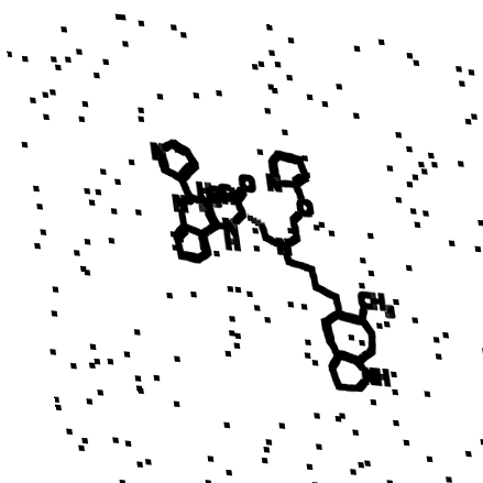 CC(=O)[C@H](CCN(CCCCC1=C(\C)CCC2=C(/C=C\1)CCCN2)CCOc1ccccn1)Nc1c2ccccc2nc(-c2cccnc2)[n+]1O